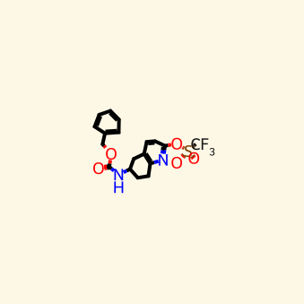 O=C(NC1CCc2nc(OS(=O)(=O)C(F)(F)F)ccc2C1)OCc1ccccc1